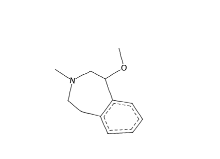 COC1CN(C)CCc2ccccc21